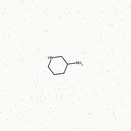 N[C]1CCCNC1